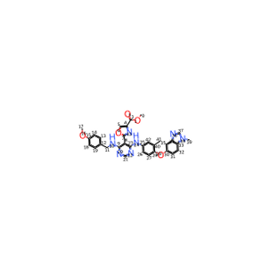 COC(=O)c1coc(-c2c(NCc3ccc(OC)cc3)ncnc2Nc2ccc(Oc3ccc4c(c3)ncn4C)c(C)c2)n1